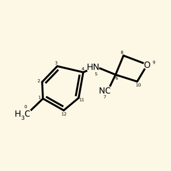 Cc1ccc(NC2(C#N)COC2)cc1